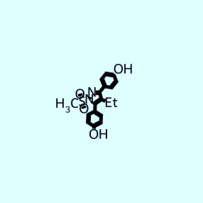 CCc1c(-c2ccc(O)cc2)nn(S(C)(=O)=O)c1-c1ccc(O)cc1